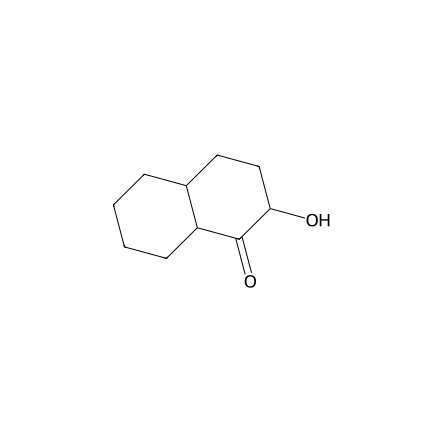 O=C1C(O)CCC2CCCCC12